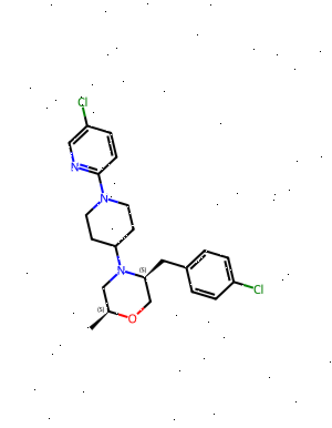 C[C@H]1CN(C2CCN(c3ccc(Cl)cn3)CC2)[C@@H](Cc2ccc(Cl)cc2)CO1